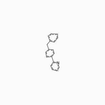 [c]1ccc(-c2ccc(Cc3ccccc3)cc2)nc1